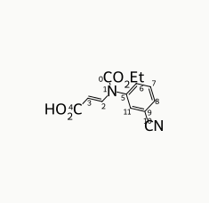 CCOC(=O)N(C=CC(=O)O)c1cccc(C#N)c1